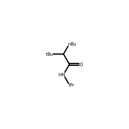 CCCCC(C(=O)NC(C)C)C(C)(C)C